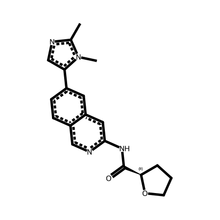 Cc1ncc(-c2ccc3cnc(NC(=O)[C@H]4CCCO4)cc3c2)n1C